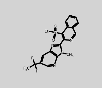 CCS(=O)(=O)c1c(-c2nc3cc(C(F)(F)C(F)(F)F)cnc3n2C)ncc2ccccc12